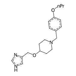 CCCOc1ccc(CN2CCC(OCc3c[nH]cn3)CC2)cc1